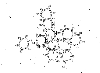 C=C/C=C\C1=C(C)c2cccc3c2c2c4c1cccc4ccc2n3-c1nc2ccccc2cc1-c1nc(-c2ccccc2)nc(-c2ccccc2)n1